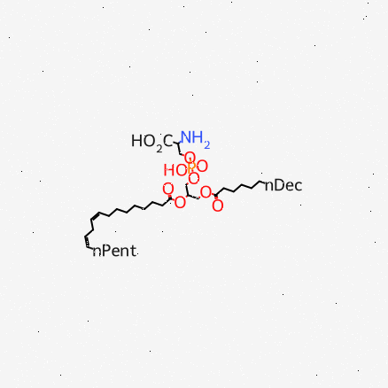 CCCCC/C=C\C/C=C\CCCCCCCC(=O)OC(COC(=O)CCCCCCCCCCCCCCC)COP(=O)(O)OCC(N)C(=O)O